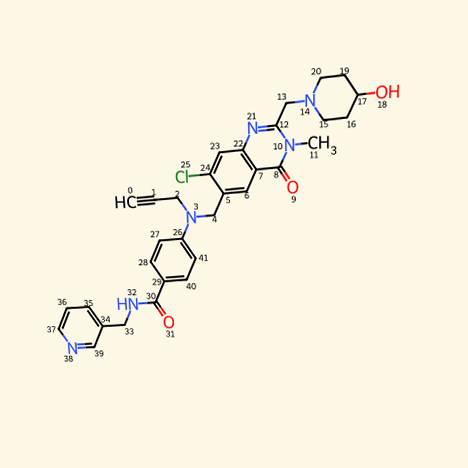 C#CCN(Cc1cc2c(=O)n(C)c(CN3CCC(O)CC3)nc2cc1Cl)c1ccc(C(=O)NCc2cccnc2)cc1